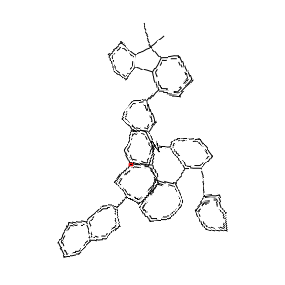 CC1(C)c2ccccc2-c2c(-c3cccc(N(c4ccc(-c5ccc6ccccc6c5)cc4)c4cccc(-c5ccccc5)c4-c4ccccc4-c4ccccc4)c3)cccc21